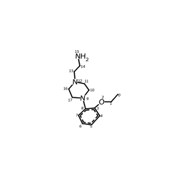 CCOc1ccccc1N1CCN(CCN)CC1